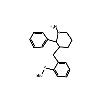 CCCCSc1ccccc1CC1CCCN(N)C1c1ccccc1